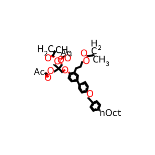 C=C(C)C(=O)OCCCc1cc(-c2ccc(OCc3ccc(CCCCCCCC)cc3)cc2)ccc1OCC(COC(=O)C(=C)C)(COC(=O)C(C)=O)COC(=O)C(C)=O